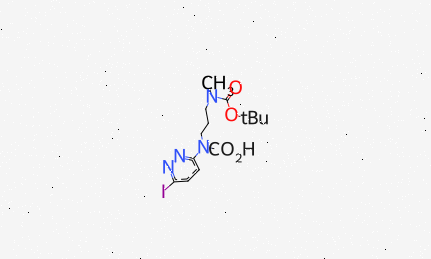 CN(CCCN(C(=O)O)c1ccc(I)nn1)C(=O)OC(C)(C)C